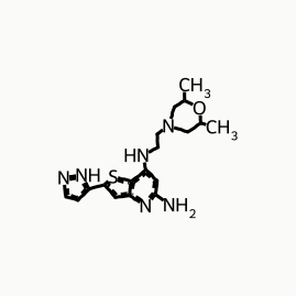 CC1CN(CCNc2cc(N)nc3cc(-c4ccn[nH]4)sc23)CC(C)O1